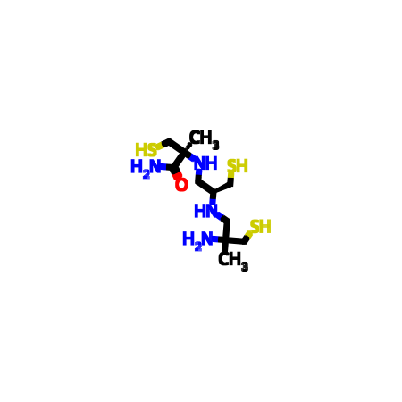 CC(N)(CS)CN[C@H](CS)CN[C@](C)(CS)C(N)=O